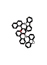 c1ccc(-c2ccccc2N(c2ccc(-c3c(-n4c5ccccc5c5ccccc54)ccc4ccccc34)cc2)c2cccc3oc4ccccc4c23)cc1